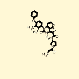 C=CC(=O)N1CCC(NC(=O)c2sc3nccc4c3c2NC(=O)N4c2ccc(Oc3ccccc3)c(C)c2C)C1